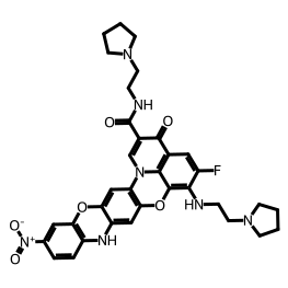 O=C(NCCN1CCCC1)c1cn2c3cc4oc5cc([N+](=O)[O-])ccc5[nH]c4cc3oc3c(NCCN4CCCC4)c(F)cc(c1=O)c32